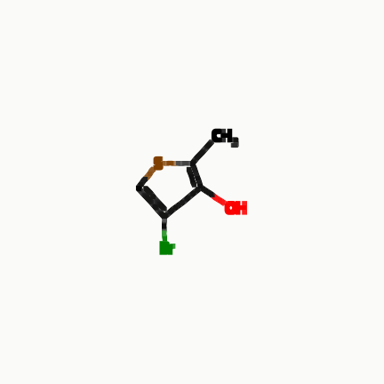 Cc1scc(Br)c1O